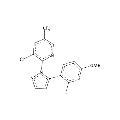 COc1ccc(-c2ccnn2-c2ncc(C(F)(F)F)cc2Cl)c(F)c1